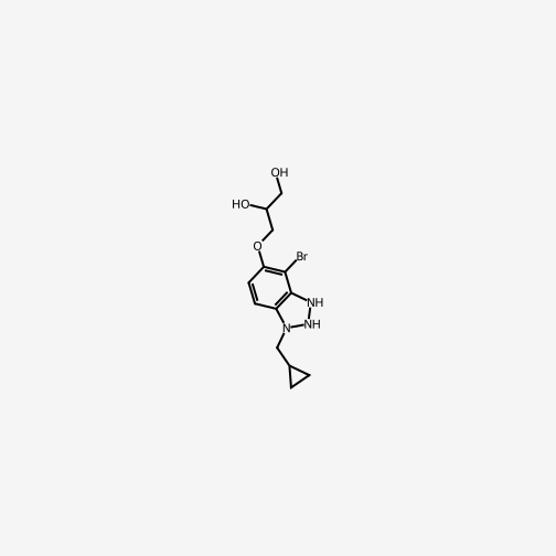 OCC(O)COc1ccc2c(c1Br)NNN2CC1CC1